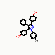 Oc1ccc(-c2nn(-c3ccc(C(F)(F)F)cc3)c(-c3ccc(O)cc3)c2-c2ccccc2)cc1